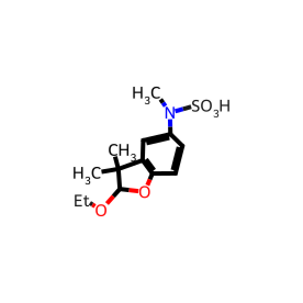 CCOC1Oc2ccc(N(C)S(=O)(=O)O)cc2C1(C)C